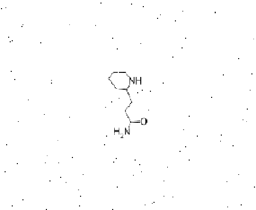 NC(=O)CCC1CCCCN1